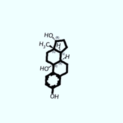 C[C@]12CC[C@]3(O)c4ccc(O)cc4CC[C@@H]3[C@@H]1CC[C@H]2O